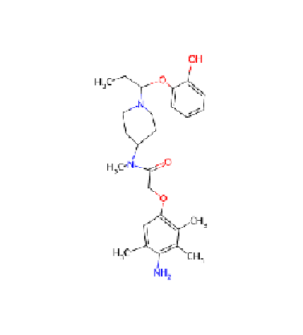 CCC(Oc1ccccc1O)N1CCC(N(C)C(=O)COc2cc(C)c(N)c(C)c2C)CC1